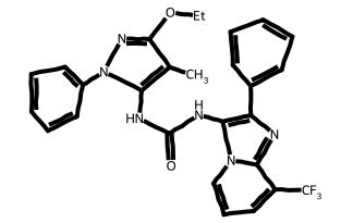 CCOc1nn(-c2ccccc2)c(NC(=O)Nc2c(-c3ccccc3)nc3c(C(F)(F)F)cccn23)c1C